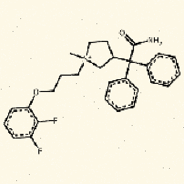 C[N+]1(CCCOc2cccc(F)c2F)CCC(C(C(N)=O)(c2ccccc2)c2ccccc2)C1